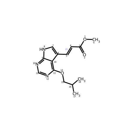 COC(=O)/C=C/c1c[nH]c2ncnc(OCC(C)C)c12